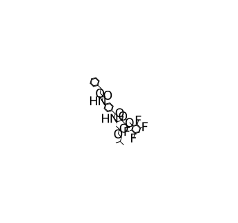 CC(C)COC(=O)C[C@H](NC(=O)c1ccc(NC(=O)OCc2ccccc2)cc1)C(=O)COc1c(F)c(F)cc(F)c1F